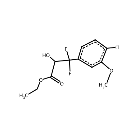 CCOC(=O)C(O)C(F)(F)c1ccc(Cl)c(OC)c1